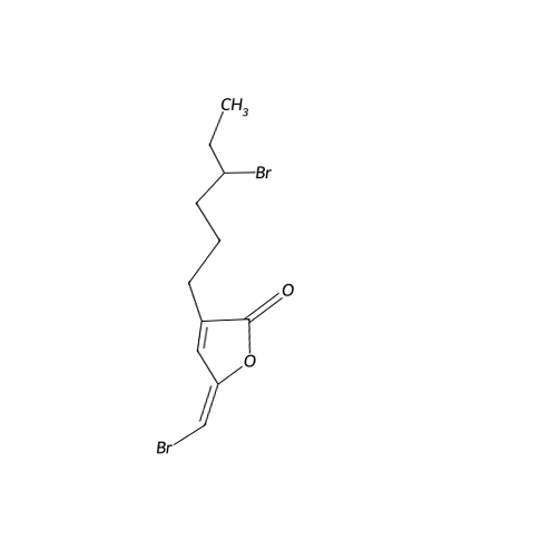 CCC(Br)CCCC1=CC(=CBr)OC1=O